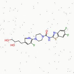 O=C(Nc1nc2cc(F)c(F)cc2s1)N1CCN(c2ncc(CC[C@H](O)CO)cc2F)CC1